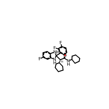 O=C(NC1CCCCC1)[C@@H](C1CCCCC1)C1(c2cccc(F)c2F)Nc2ccc(F)cc2N1